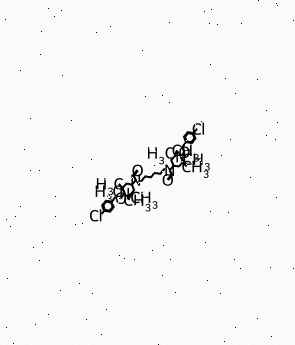 CC1(C)CC(N(C=O)CCCCCCN(C=O)C2CC(C)(C)N(OCc3ccc(Cl)cc3)C(C)(C)C2)CC(C)(C)N1OCc1ccc(Cl)cc1